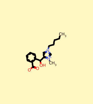 CCCCCn1cc(C(O)c2ccccc2C(=O)[O-])[n+](C)c1